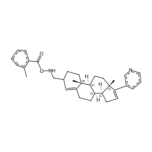 Cc1ccccc1C(=O)ONCC1C=C2CC[C@H]3[C@H](CC[C@]4(C)C(c5cccnc5)=CC[C@@H]34)[C@@]2(C)CC1